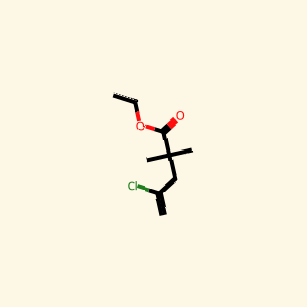 C=C(Cl)CC(C)(C)C(=O)OCC